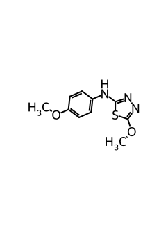 COc1ccc(Nc2nnc(OC)s2)cc1